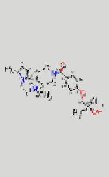 CN1CCn2c(C(F)(F)F)ccc2C12CCN(C(=O)c1ccc(OCC(C)(C)O)cc1)CC2